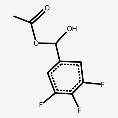 CC(=O)OC(O)c1cc(F)c(F)c(F)c1